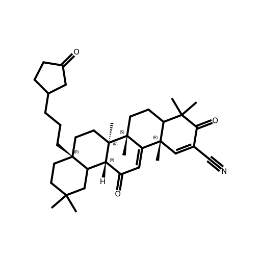 CC1(C)CC[C@]2(CCCC3CCC(=O)C3)CC[C@]3(C)[C@H](C(=O)C=C4[C@@]5(C)C=C(C#N)C(=O)C(C)(C)C5CC[C@]43C)C2C1